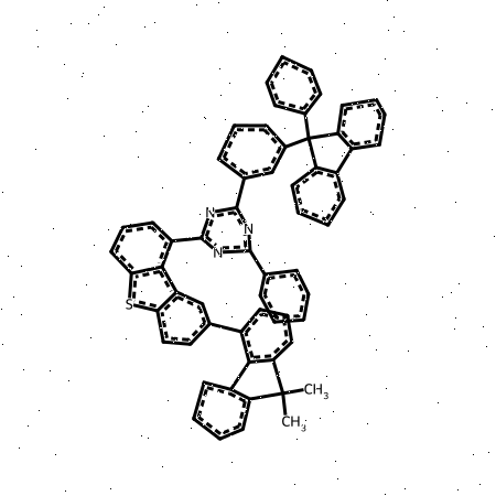 CC1(C)c2ccccc2-c2c(-c3ccc4sc5cccc(-c6nc(-c7ccccc7)nc(-c7cccc(C8(c9ccccc9)c9ccccc9-c9ccccc98)c7)n6)c5c4c3)cccc21